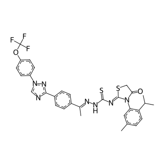 C/C(=N\NC(=S)/N=C1\SCC(=O)N1c1cc(C)ccc1C(C)C)c1ccc(-c2ncn(-c3ccc(OC(F)(F)F)cc3)n2)cc1